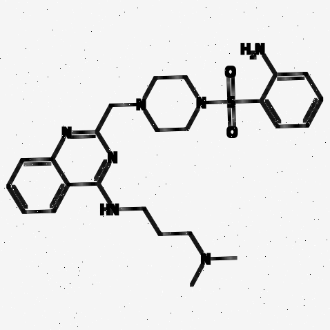 CN(C)CCCNc1nc(CN2CCN(S(=O)(=O)c3ccccc3N)CC2)nc2ccccc12